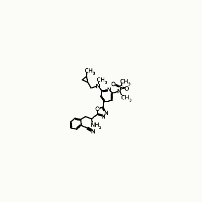 CC1CC1CN(C)c1cc(-c2nnc(C(N)Cc3ccccc3C#N)o2)cc(N(C)S(C)(=O)=O)n1